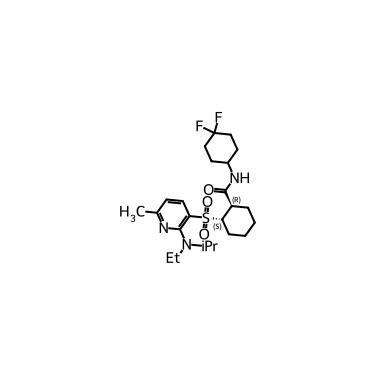 CCN(c1nc(C)ccc1S(=O)(=O)[C@H]1CCCC[C@@H]1C(=O)NC1CCC(F)(F)CC1)C(C)C